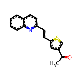 CC(=O)c1csc(C=Cc2ccc3ccccc3n2)c1